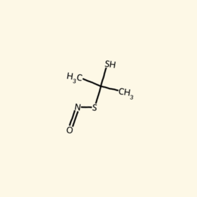 CC(C)(S)SN=O